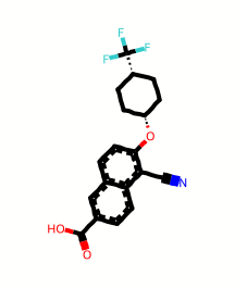 N#Cc1c(O[C@H]2CC[C@@H](C(F)(F)F)CC2)ccc2cc(C(=O)O)ccc12